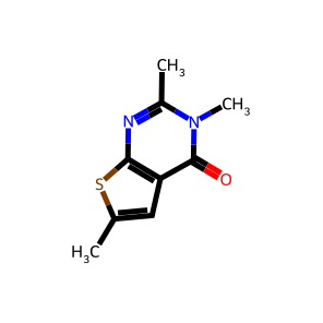 Cc1cc2c(=O)n(C)c(C)nc2s1